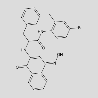 Cc1cc(Br)ccc1NC(=O)C(Cc1ccccc1)NC1=CC(=NO)c2ccccc2C1=O